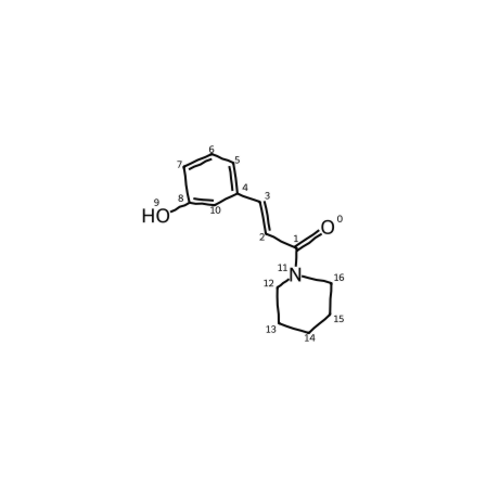 O=C(/C=C/c1cccc(O)c1)N1CCCCC1